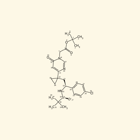 CC(C)(C)OC(=O)Cn1cnc(C2(C[C@H](N[S@@+]([O-])C(C)(C)C)c3ccc(Cl)cc3)CC2)cc1=O